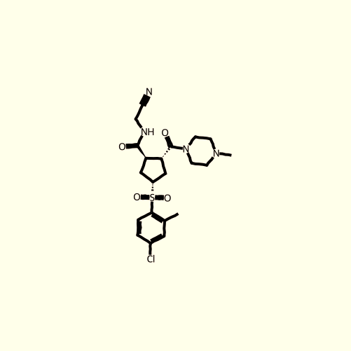 Cc1cc(Cl)ccc1S(=O)(=O)[C@@H]1C[C@@H](C(=O)NCC#N)[C@H](C(=O)N2CCN(C)CC2)C1